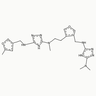 Cc1cc(CNc2nnc(N(C)CCc3cocc3CNc3nnc(N(C)C)[nH]3)[nH]2)co1